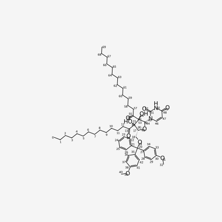 CCCCCCCCCCCCCC(=O)[C@@]1(O)[C@@H](COC(c2ccccc2)(c2ccc(OC)cc2)c2ccc(OC)cc2)O[C@@H](n2ccc(=O)[nH]c2=O)[C@@]1(O)C(=O)CCCCCCCCCCCCC